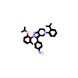 Cc1cccc(OC(C)C)c1-n1nc2c(c1-c1ccc(N)cc1)CN(c1ccccc1C(C)C)CC2